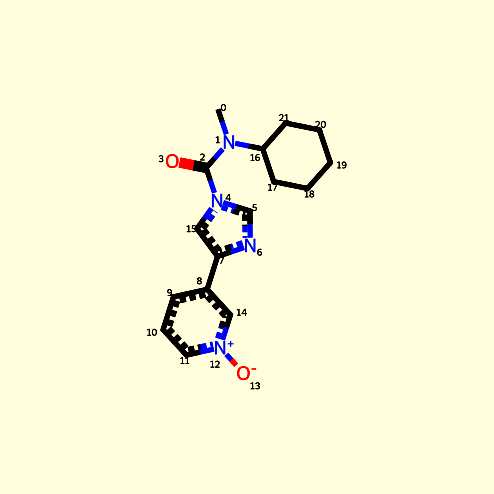 CN(C(=O)n1cnc(-c2ccc[n+]([O-])c2)c1)C1CCCCC1